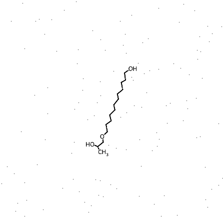 CC(O)COCCCCCCCCCCCCO